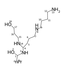 CCCC(O)NC(CCCNCCCCN)NCCCO